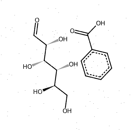 O=C(O)c1ccccc1.O=C[C@H](O)[C@@H](O)[C@H](O)[C@H](O)CO